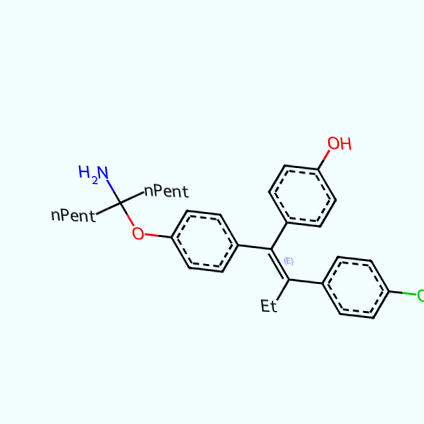 CCCCCC(N)(CCCCC)Oc1ccc(/C(=C(\CC)c2ccc(Cl)cc2)c2ccc(O)cc2)cc1